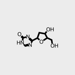 O=c1nc(C2CC(O)C(CO)O2)nc[nH]1